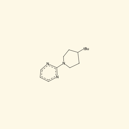 CC(C)(C)C1CCN(c2ncccn2)CC1